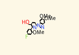 COc1cc2ncn(-c3ccc(CO)c(-c4ccc(F)cc4OC)n3)c2cc1OC